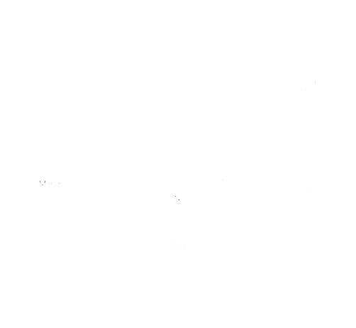 CCOC(=O)CCc1cc(C)cc(OCc2ccc(-c3cc(OC)ccc3F)c(CC(C)(C)C)n2)c1